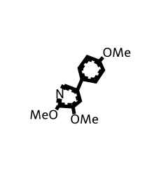 COc1ccc(-c2cnc(OC)c(OC)c2)cc1